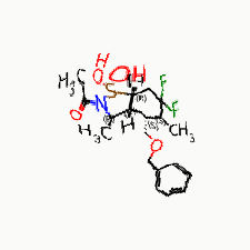 CC(=O)N1[C@H](C)[C@H]2[C@@H](COCc3ccccc3)[C@H](C)C(F)(F)C[C@H]2S1(O)O